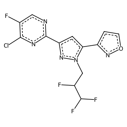 Fc1cnc(-c2cc(-c3ccon3)n(CC(F)C(F)F)n2)nc1Cl